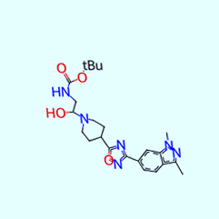 Cc1nn(C)c2cc(-c3noc(C4CCN(C(O)CNC(=O)OC(C)(C)C)CC4)n3)ccc12